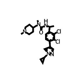 CC(NC(=O)N(C)C1CCN(C)CC1)c1ccc(-c2cnn(C3CC3)c2)c(Cl)c1Cl